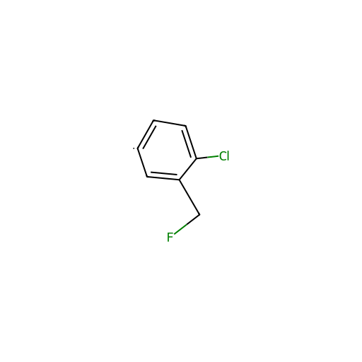 FCc1c[c]ccc1Cl